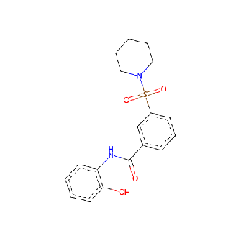 O=C(Nc1ccccc1O)c1cccc(S(=O)(=O)N2CCCCC2)c1